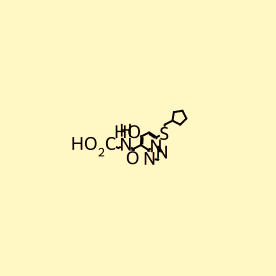 O=C(O)CNC(=O)c1c(O)cc(SCC2CCCC2)n2ncnc12